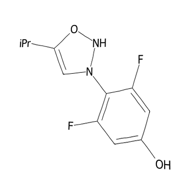 CC(C)C1=CN(c2c(F)cc(O)cc2F)NO1